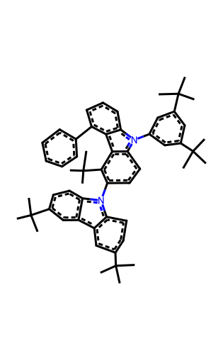 CC(C)(C)c1cc(-n2c3cccc(-c4ccccc4)c3c3c(C(C)(C)C)c(-n4c5ccc(C(C)(C)C)cc5c5cc(C(C)(C)C)ccc54)ccc32)cc(C(C)(C)C)c1